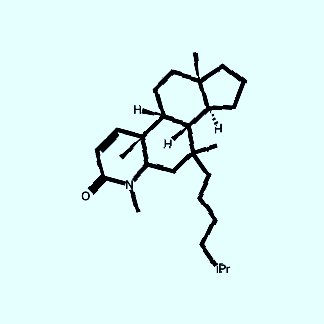 CC(C)CCCCC1(C)CC2N(C)C(=O)C=C[C@]2(C)[C@@H]2CC[C@]3(C)CCC[C@H]3[C@@H]21